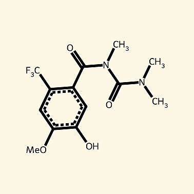 COc1cc(C(F)(F)F)c(C(=O)N(C)C(=O)N(C)C)cc1O